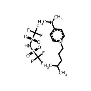 CC(C)CCC[n+]1ccc(N(C)C)cc1.O=S(=O)(NS(=O)(=O)C(F)(F)F)C(F)(F)F